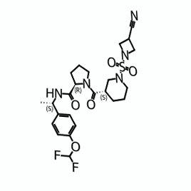 C[C@H](NC(=O)[C@H]1CCCN1C(=O)[C@H]1CCCN(S(=O)(=O)N2CC(C#N)C2)C1)c1ccc(OC(F)F)cc1